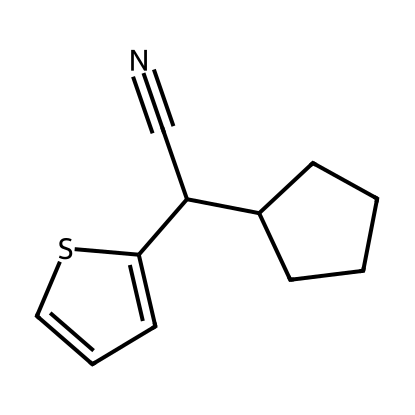 N#CC(c1cccs1)C1CCCC1